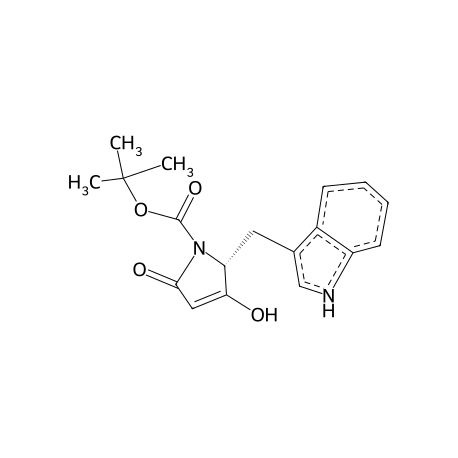 CC(C)(C)OC(=O)N1C(=O)C=C(O)[C@H]1Cc1c[nH]c2ccccc12